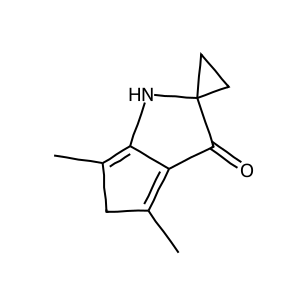 CC1=C2NC3(CC3)C(=O)C2=C(C)C1